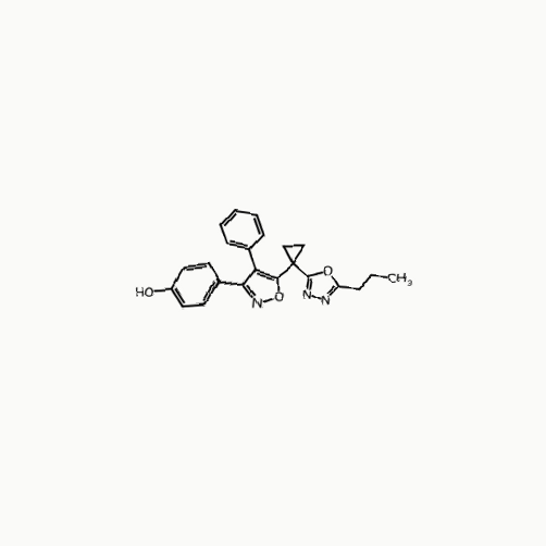 CCCc1nnc(C2(c3onc(-c4ccc(O)cc4)c3-c3ccccc3)CC2)o1